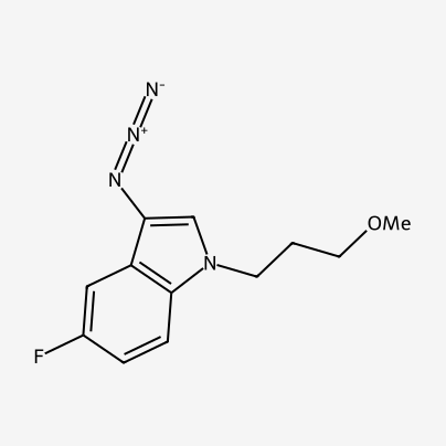 COCCCn1cc(N=[N+]=[N-])c2cc(F)ccc21